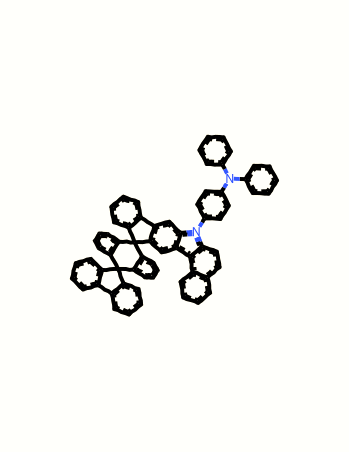 c1ccc(N(c2ccccc2)c2ccc(-n3c4cc5c(cc4c4c6ccccc6ccc43)C3(c4ccccc4-5)c4ccccc4C4(c5ccccc5-c5ccccc54)c4ccccc43)cc2)cc1